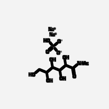 CC(=O)NC(=O)C(O)C(O)C(O)C(O)CO.O=P([O-])([O-])O.[Na+].[Na+]